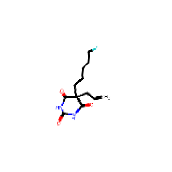 C=CCC1(CCCCCF)C(=O)NC(=O)NC1=O